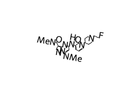 CNC(=O)c1cnn2c(NC)cc(Nc3cccn(C4CCN(CCF)CC4)c3=O)nc12